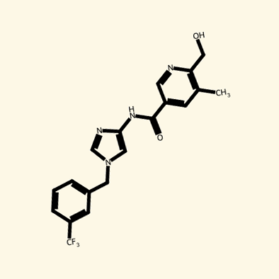 Cc1cc(C(=O)Nc2cn(Cc3cccc(C(F)(F)F)c3)cn2)cnc1CO